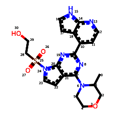 CC1COCCN1c1nc(-c2ccnc3[nH]ccc23)nc2c1ccn2S(=O)(=O)CCO